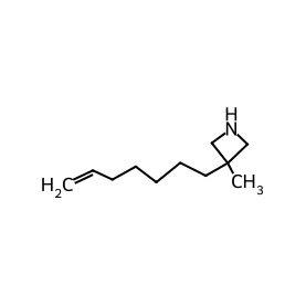 C=CCCCCCC1(C)CNC1